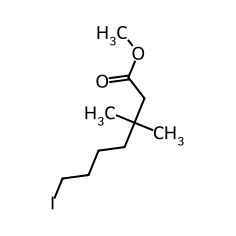 COC(=O)CC(C)(C)CCCCI